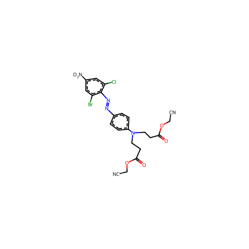 N#CCOC(=O)CCN(CCC(=O)OCC#N)c1ccc(N=Nc2c(Cl)cc([N+](=O)[O-])cc2Br)cc1